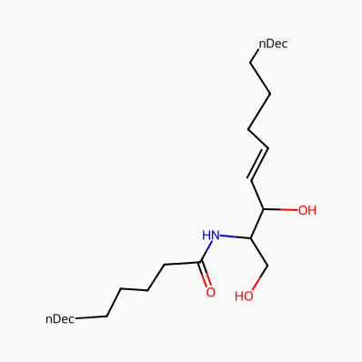 CCCCCCCCCCCCC/C=C/C(O)C(CO)NC(=O)CCCCCCCCCCCCCC